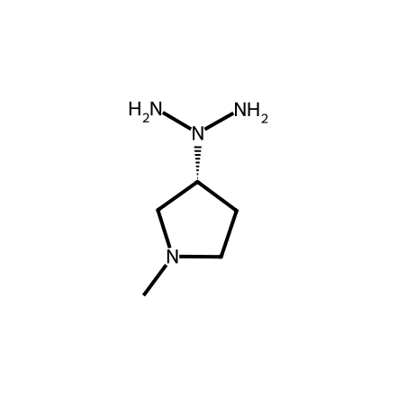 CN1CC[C@@H](N(N)N)C1